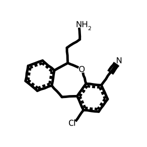 N#Cc1ccc(Cl)c2c1OC(CCN)c1ccccc1C2